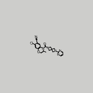 CC1COc2cc(Cl)c(C#N)cc2N1C(=O)N1CC2(C1)CN(c1ncccn1)C2